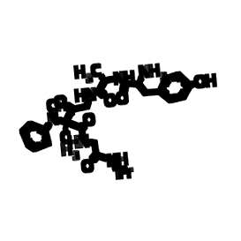 CC(C)NC(=O)CNC(=O)[C@@](C)(C(=O)CNC(=O)[C@@H](C)NC(=O)[C@@H](N)Cc1ccc(O)cc1)N(C)c1ccccc1